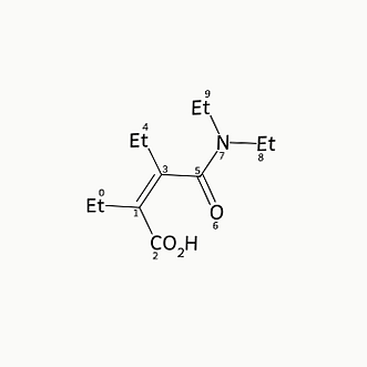 CC/C(C(=O)O)=C(\CC)C(=O)N(CC)CC